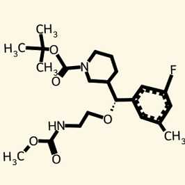 COC(=O)NCCO[C@@H](c1cc(C)cc(F)c1)C1CCCN(C(=O)OC(C)(C)C)C1